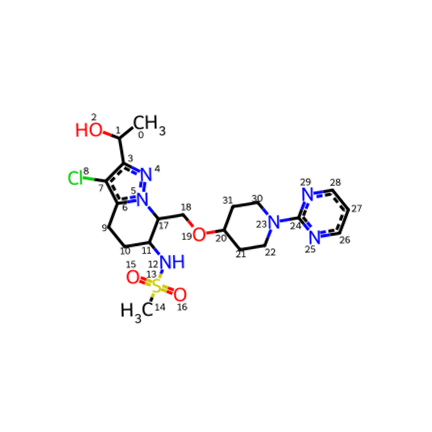 CC(O)c1nn2c(c1Cl)CCC(NS(C)(=O)=O)C2COC1CCN(c2ncccn2)CC1